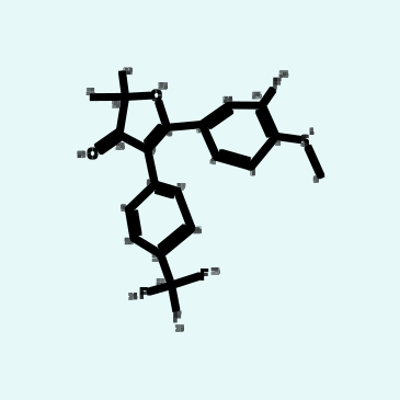 CSc1ccc(C2=C(c3ccc(C(F)(F)F)cc3)C(=O)C(C)(C)O2)cc1F